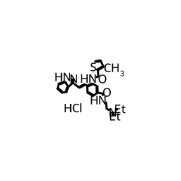 CCN(CC)CCNC(=O)c1ccc(/C=C/c2n[nH]c3ccccc23)c(NC(=O)c2sccc2C)c1.Cl